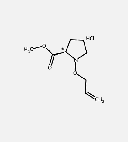 C=CCON1CCC[C@@H]1C(=O)OC.Cl